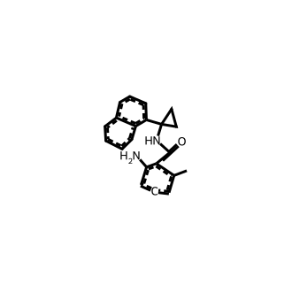 Cc1cccc(N)c1C(=O)NC1(c2cccc3ccccc23)CC1